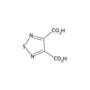 O=C(O)c1nsnc1C(=O)O